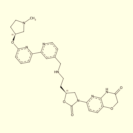 CN1CC[C@H](Oc2cccc(-c3cc(CNCC[C@H]4CN(c5ccc6c(n5)NC(=O)CO6)C(=O)O4)ccn3)n2)C1